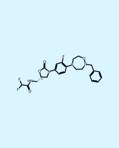 O=C(NC[C@H]1CN(c2ccc(N3CCON(Cc4ccccc4)CC3)c(F)c2)C(=O)O1)C(F)F